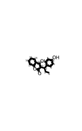 CCC(c1ccc(O)cc1)c1c(O)c2ccccc2oc1=O